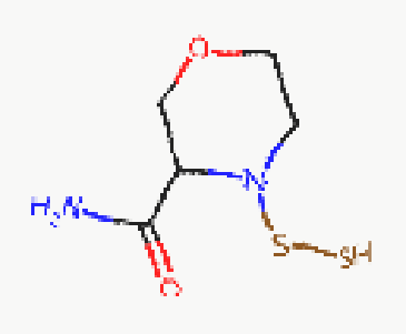 NC(=O)C1COCCN1SS